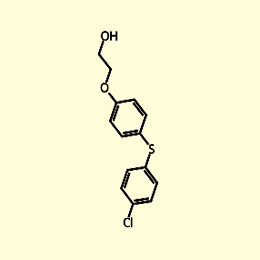 OCCOc1ccc(Sc2ccc(Cl)cc2)cc1